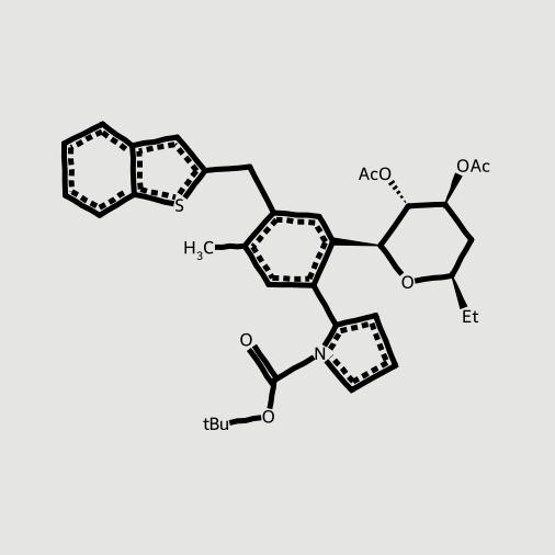 CC[C@@H]1C[C@H](OC(C)=O)[C@@H](OC(C)=O)[C@H](c2cc(Cc3cc4ccccc4s3)c(C)cc2-c2cccn2C(=O)OC(C)(C)C)O1